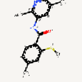 CCSc1cc([N+](=O)[O-])ccc1C(=O)Nc1cc(C(F)(F)F)cnc1NC